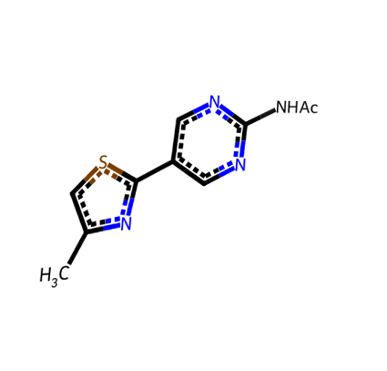 CC(=O)Nc1ncc(-c2nc(C)cs2)cn1